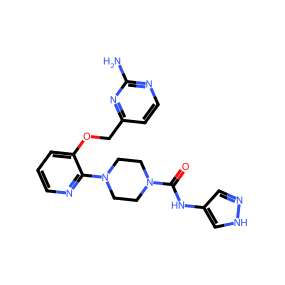 Nc1nccc(COc2cccnc2N2CCN(C(=O)Nc3cn[nH]c3)CC2)n1